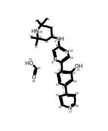 CC1(C)CC(Nc2cnc(-c3ccc(-c4ccncc4)cc3O)cn2)CC(C)(C)N1.O=CO